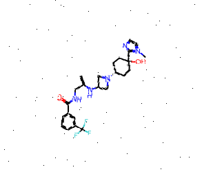 C=C(CNC(=O)c1cccc(C(F)(F)F)c1)NC1CN([C@H]2CC[C@@](O)(c3nccn3C)CC2)C1